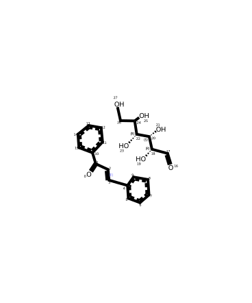 O=C(/C=C/c1ccccc1)c1ccccc1.O=C[C@H](O)[C@@H](O)[C@H](O)C(O)CO